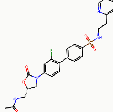 CC(=O)NC[C@H]1CN(c2ccc(-c3ccc(S(=O)(=O)NCCc4ccccn4)cc3)c(F)c2)C(=O)O1